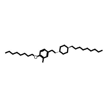 CCCCCCCCC[C@H]1CC[C@H](CCc2ccc(OCCCCCCCC)c(C)c2)CC1